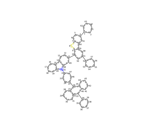 c1ccc(-c2ccc3sc4c(-c5ccc6c7ccccc7n(-c7ccc(-c8c9ccccc9c(-c9ccccc9)c9ccccc89)cc7)c6c5)cc(-c5ccccc5)cc4c3c2)cc1